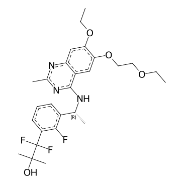 CCOCCOc1cc2c(N[C@H](C)c3cccc(C(F)(F)C(C)(C)O)c3F)nc(C)nc2cc1OCC